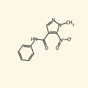 Cn1ncc(C(=O)Nc2ccccc2)c1[N+](=O)[O-]